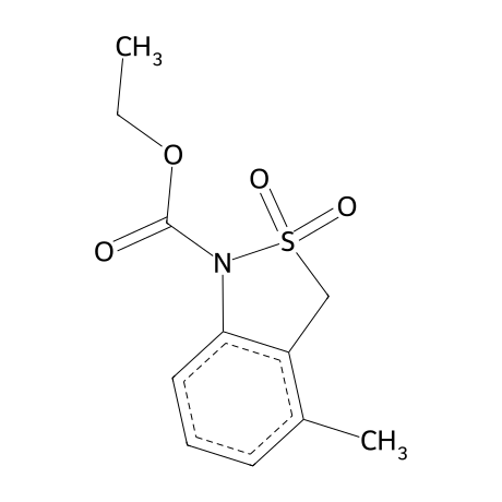 CCOC(=O)N1c2cccc(C)c2CS1(=O)=O